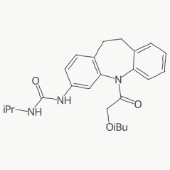 CC(C)COCC(=O)N1c2ccccc2CCc2ccc(NC(=O)NC(C)C)cc21